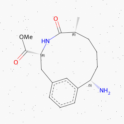 COC(=O)[C@H]1Cc2cccc(c2)[C@@H](N)CCC[C@@H](C)C(=O)N1